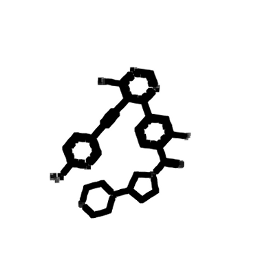 CCc1ncnc(-c2ccc(C(=O)N3CCC(N4CCOCC4)C3)c(F)c2)c1C#Cc1ccc(N)nc1